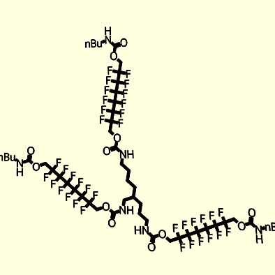 CCCCNC(=O)OCC(F)(F)C(F)(F)C(F)(F)C(F)(F)C(F)(F)C(F)(F)COC(=O)NCCCCC(CCCNC(=O)OCC(F)(F)C(F)(F)C(F)(F)C(F)(F)C(F)(F)C(F)(F)COC(=O)NCCCC)CNC(=O)OCC(F)(F)C(F)(F)C(F)(F)C(F)(F)C(F)(F)C(F)(F)COC(=O)NCCCC